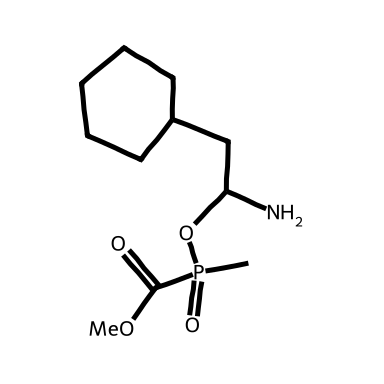 COC(=O)P(C)(=O)OC(N)CC1CCCCC1